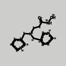 O=C(CCN(Cc1cccnc1)Cc1cccnc1)NO